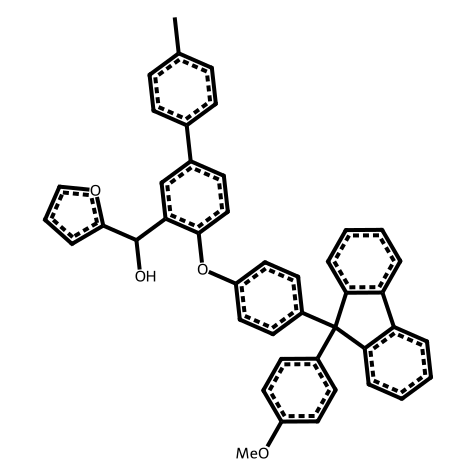 COc1ccc(C2(c3ccc(Oc4ccc(-c5ccc(C)cc5)cc4C(O)c4ccco4)cc3)c3ccccc3-c3ccccc32)cc1